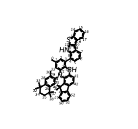 Cc1cc(-c2cccc3c2[nH]c2sc4ccccc4c23)c2c(c1)N(c1cc3c(cc1C)C(C)(C)CCC3(C)C)c1c(ccc3c1C(C)(C)c1ccccc1-3)B2